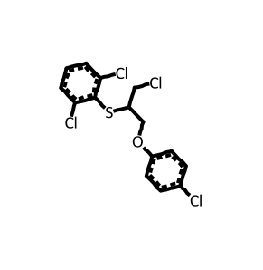 ClCC(COc1ccc(Cl)cc1)Sc1c(Cl)cccc1Cl